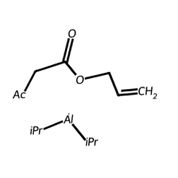 C=CCOC(=O)CC(C)=O.C[CH](C)[Al][CH](C)C